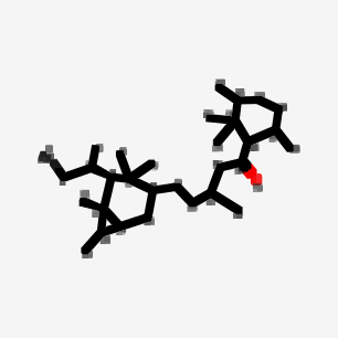 CC(=O)CC(C)[C@H]1C(C)(C)C(CCC(C)CC(=O)C2C(C)CCC(C)C2(C)C)CC2C(C)[C@@]21C